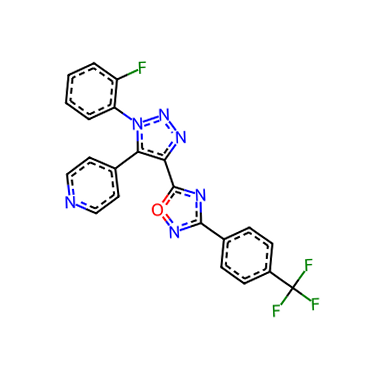 Fc1ccccc1-n1nnc(-c2nc(-c3ccc(C(F)(F)F)cc3)no2)c1-c1ccncc1